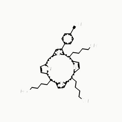 C#Cc1ccc(-c2cc3cc4nc(c(CCCCC)c5ccc([nH]5)c(CCCCC)c5nc(c(CCCCC)c2[nH]3)C=C5)C=C4)cc1